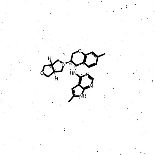 Cc1ccc2c(c1)OC[C@H](N1C[C@H]3COC[C@@H]3C1)[C@H]2Nc1ncnc2[nH]c(C)cc12